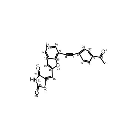 CC(=O)c1ccc(C#Cc2cncc3cc(C=C4SC(=O)NC4=O)oc23)cc1